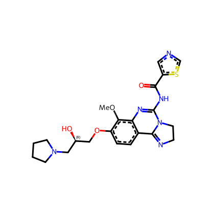 COc1c(OC[C@H](O)CN2CCCC2)ccc2c1N=C(NC(=O)c1cncs1)N1CCN=C21